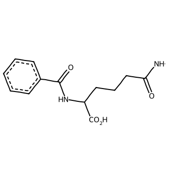 [NH]C(=O)CCCC(NC(=O)c1ccccc1)C(=O)O